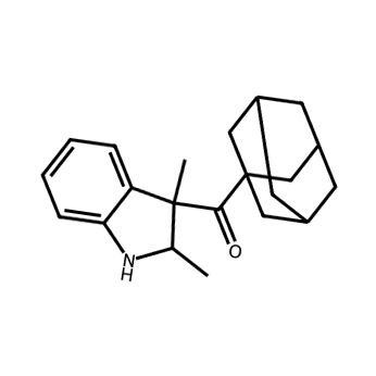 CC1Nc2ccccc2C1(C)C(=O)C12CC3CC(CC(C3)C1)C2